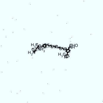 Cc1ncsc1-c1ccc(CNC=O)c(OCCOCCOCCOCCCc2ccc(CO[C@H](C)[C@@H](N)CCC(N)=O)cc2)c1